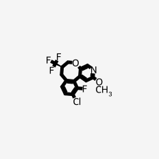 COc1cc2c(cn1)OC[C@H](C(F)(F)F)Cc1ccc(Cl)c(F)c1-2